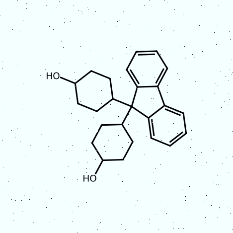 OC1CCC(C2(C3CCC(O)CC3)c3ccccc3-c3ccccc32)CC1